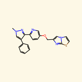 Cn1cc(-c2ccccc2)c(-c2ccc(OCc3cn4ccsc4n3)cn2)n1